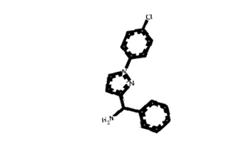 NC(c1[c]cccc1)c1ccn(-c2ccc(Cl)cc2)n1